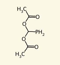 CC(=O)OC(P)OC(C)=O